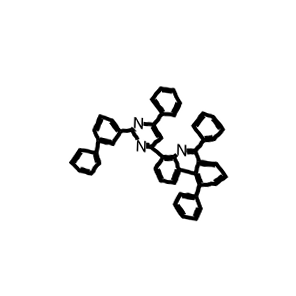 c1ccc(-c2cccc(-c3nc(-c4ccccc4)cc(-c4cccc5c4nc(-c4ccccc4)c4cccc(-c6ccccc6)c45)n3)c2)cc1